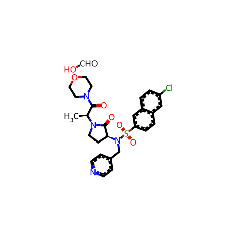 C[C@@H](C(=O)N1CCOCC1)N1CC[C@H](N(Cc2ccncc2)S(=O)(=O)c2ccc3cc(Cl)ccc3c2)C1=O.O=CO